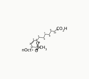 CCCCCCCCC(/C=C\CCCCCCCC(=O)O)S(C)(=O)=O